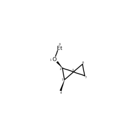 CCO[C@@H]1[C@H](C)C12CC2